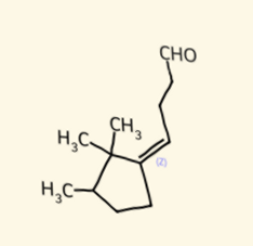 CC1CC/C(=C/CCC=O)C1(C)C